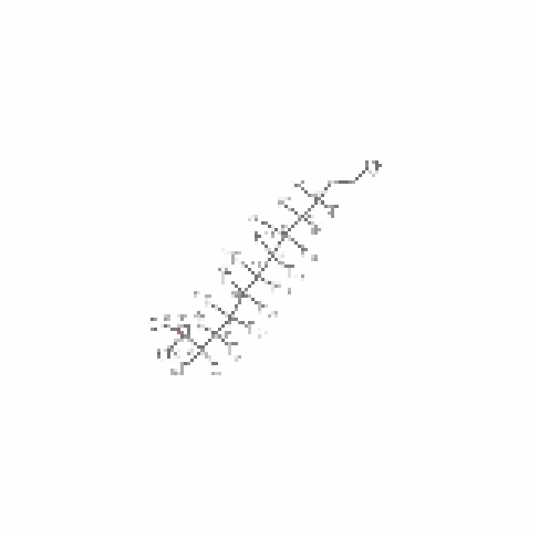 FC(F)(F)CCC(F)(F)C(F)(F)C(F)(F)C(F)(F)C(F)(F)C(F)(F)C(F)(F)C(F)(F)C(F)(F)[Si](Cl)(Cl)Cl